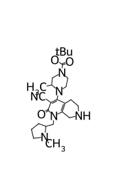 CC1CN(C(=O)OC(C)(C)C)CCN1c1c2c(n(CC3CCCN3C)c(=O)c1C#N)CNCC2